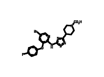 O=C(O)N1CCC(c2nsc(Nc3ncc(Br)cc3Oc3ccc(F)cc3)n2)CC1